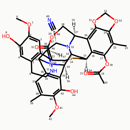 COc1cc2c(cc1O)CCN[C@]21CS[C@@H]2c3c(OC(C)=O)c(C)c4c(c3[C@H](COC1=O)N1C2[C@H]2c3c(cc(C)c(OC)c3O)C3[C@@H]([C@@H]1C#N)N32)OCO4